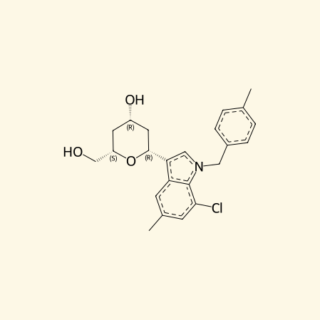 Cc1ccc(Cn2cc([C@H]3C[C@@H](O)C[C@@H](CO)O3)c3cc(C)cc(Cl)c32)cc1